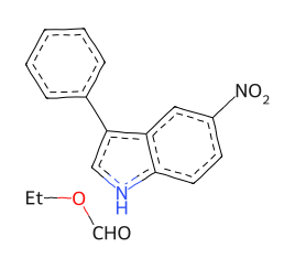 CCOC=O.O=[N+]([O-])c1ccc2[nH]cc(-c3ccccc3)c2c1